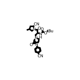 CC1CC(C#N)N(C(=O)C(CN2CC3CC2C(=O)N3c2ccc(C#N)cc2)NC(=O)OC(C)(C)C)C1